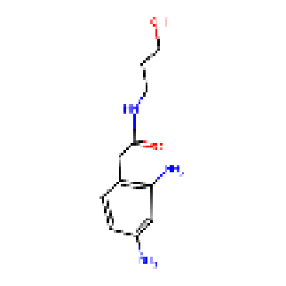 Nc1ccc(CC(=O)NCCCO)c(N)c1